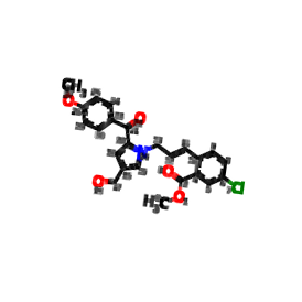 COC(=O)c1cc(Cl)ccc1C=CCn1cc(C=O)cc1C(=O)c1ccc(OC)cc1